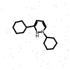 C1=CN(C2CCCCC2)NC(C2CCCCC2)=C1